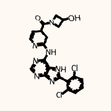 O=C(C1C=CN=C(Nc2ncnc3nc(-c4c(Cl)cccc4Cl)[nH]c23)C1)N1CC(O)C1